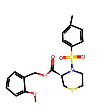 COc1ccccc1COC(=O)[C@@H]1CSCCN1S(=O)(=O)c1ccc(C)cc1